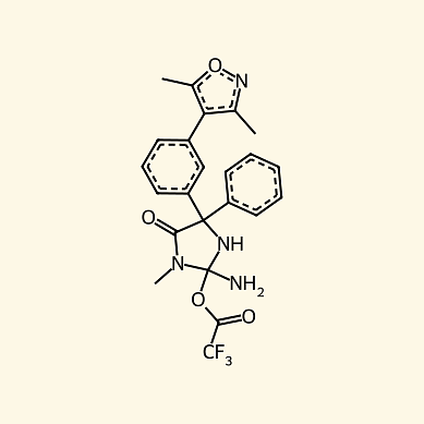 Cc1noc(C)c1-c1cccc(C2(c3ccccc3)NC(N)(OC(=O)C(F)(F)F)N(C)C2=O)c1